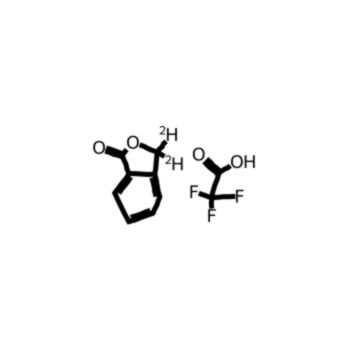 O=C(O)C(F)(F)F.[2H]C1([2H])OC(=O)c2ccccc21